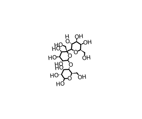 OC[C@H]1OC([C@]2(CO)O[C@@H](O[C@H]3[C@H](O)[C@@H](O)C(O)O[C@@H]3CO)[C@H](O)[C@@H](O)[C@H]2O)[C@H](O)[C@@H](O)[C@H]1O